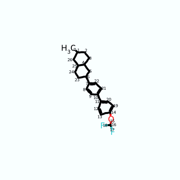 CC1CCC2CC(c3ccc(-c4ccc(OC(F)F)cc4)cc3)CCC2C1